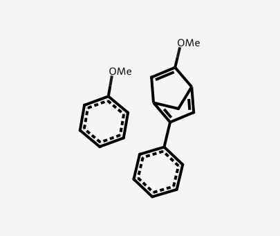 COC1=CC2=C(c3ccccc3)C=C1C2.COc1ccccc1